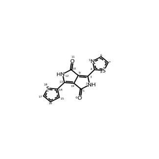 O=C1NC(c2nccs2)=C2C(=O)NC(c3cccs3)=C12